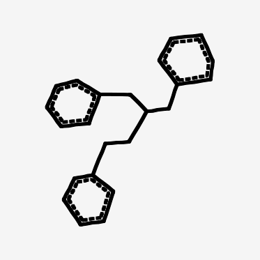 c1ccc(CCC(Cc2ccccc2)Cc2ccccc2)cc1